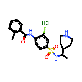 Cc1ccccc1C(=O)Nc1ccc(S(=O)(=O)NC(C)C2CCNCC2)cc1F.Cl